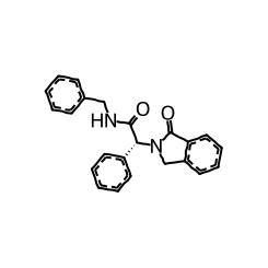 O=C(NCc1ccccc1)[C@@H](c1ccccc1)N1Cc2ccccc2C1=O